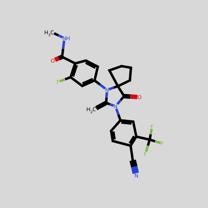 C=C1N(c2ccc(C#N)c(C(F)(F)F)c2)C(=O)C2(CCCC2)N1c1ccc(C(=O)NC)c(F)c1